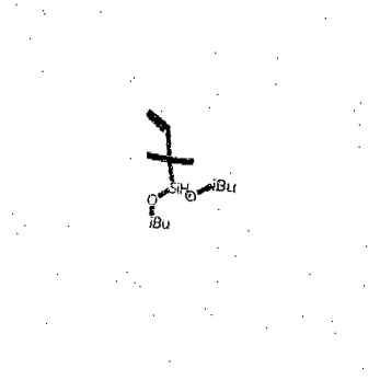 C=CC(C)(C)[SiH](OC(C)CC)OC(C)CC